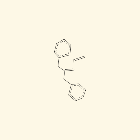 C=CC=C(Cc1ccccc1)Cc1ccccc1